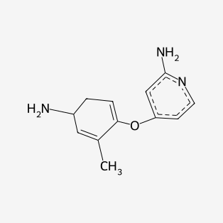 CC1=CC(N)CC=C1Oc1ccnc(N)c1